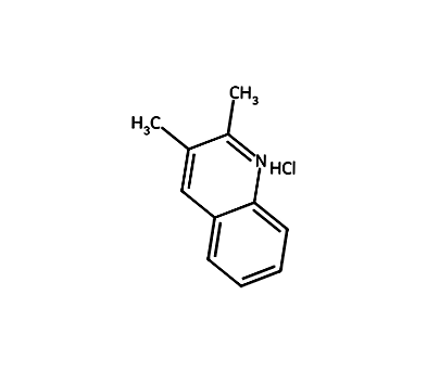 Cc1cc2ccccc2nc1C.Cl